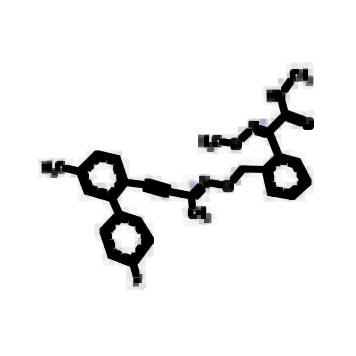 CNC(=O)/C(=N/OC)c1ccccc1CO/N=C(\C)C#Cc1ccc(C)cc1-c1ccc(F)cc1